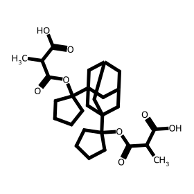 CC(C(=O)O)C(=O)OC1(C23CC4CC(C2)CC(C2(OC(=O)C(C)C(=O)O)CCCC2)(C4)C3)CCCC1